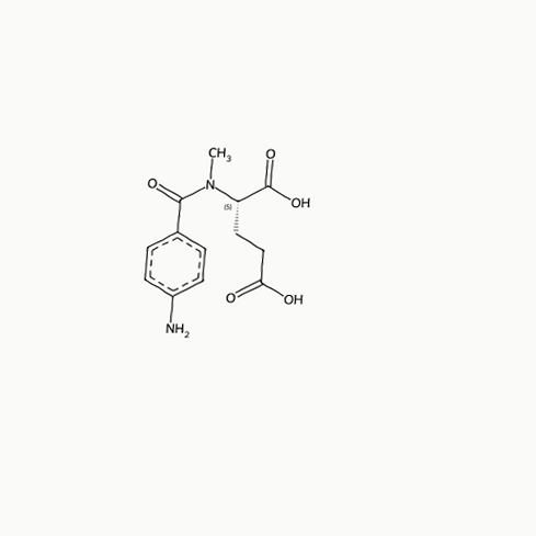 CN(C(=O)c1ccc(N)cc1)[C@@H](CCC(=O)O)C(=O)O